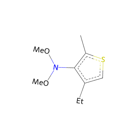 CCc1csc(C)c1N(OC)OC